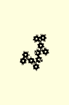 c1ccc(N(c2ccc(-n3c4ccccc4c4ccccc43)cc2)c2cncc(-c3cncc(N(c4ccccc4)c4ccc(-n5c6ccccc6c6ccccc65)cc4)c3)c2)cc1